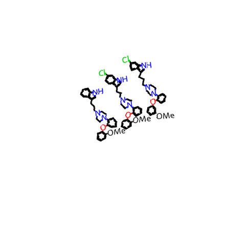 COc1cccc(Oc2ccccc2N2CCN(CCCc3c[nH]c4cc(Cl)ccc34)CC2)c1.COc1ccccc1Oc1ccccc1N1CCN(CCCc2c[nH]c3cc(Cl)ccc23)CC1.COc1ccccc1Oc1ccccc1N1CCN(CCCc2c[nH]c3ccccc23)CC1